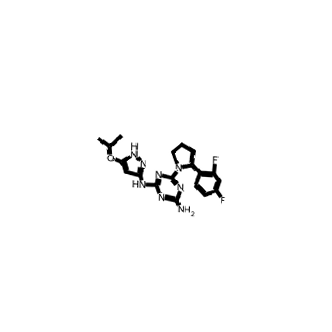 CC(C)Oc1cc(Nc2nc(N)nc(N3CCCC3c3ccc(F)cc3F)n2)n[nH]1